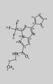 CCCNC(=O)c1cc2nc(-c3cccs3)cc(C(F)(F)F)n2n1